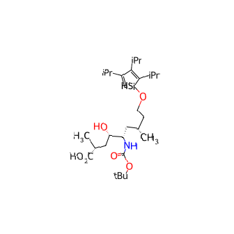 CC(C)C1=C[SiH](OCC[C@H](C)C[C@H](NC(=O)OC(C)(C)C)[C@@H](O)C[C@@H](C)C(=O)O)C(C(C)C)=C1C(C)C